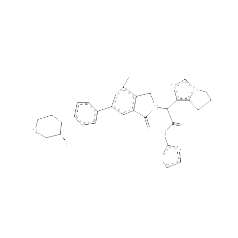 O=C(Nc1nccs1)C(c1ncn2c1CCC2)N1Cc2c(F)cc(-c3ccc([C@H]4CCNC[C@@H]4F)cc3)cc2C1=O